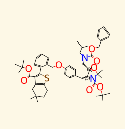 CC(C)CN(C[C@H]1OC(C)(C)N(C(=O)OC(C)(C)C)[C@H]1Cc1ccc(OCc2ccccc2-c2sc3c(c2C(=O)OC(C)(C)C)CC(C)(C)CC3)cc1)C(=O)OCc1ccccc1